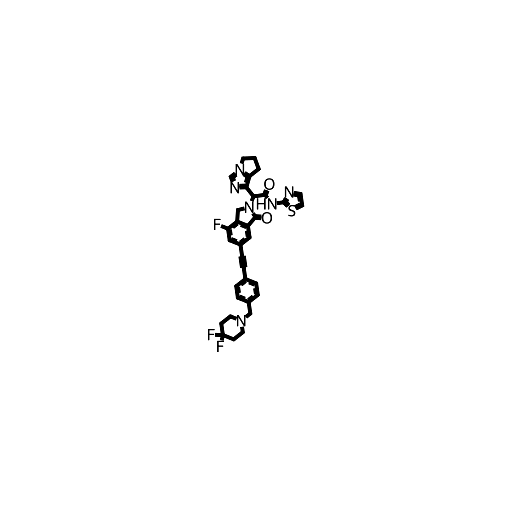 O=C(Nc1nccs1)C(c1ncn2c1CCC2)N1Cc2c(F)cc(C#Cc3ccc(CN4CCC(F)(F)CC4)cc3)cc2C1=O